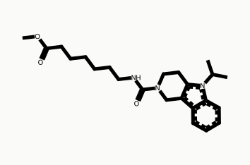 COC(=O)CCCCCCNC(=O)N1CCc2c(c3ccccc3n2C(C)C)C1